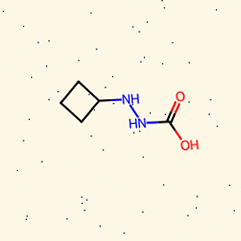 O=C(O)NNC1CCC1